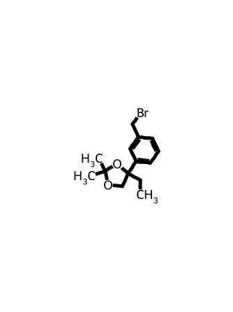 CCC1(c2cccc(CBr)c2)COC(C)(C)O1